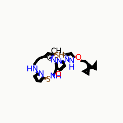 CC1(S)CC2CCCNc3cccc(n3)SNC(=O)c3ccc(N4C=CC(OCCC5C6(CC6)C56CC6)N4)nc3N1C2